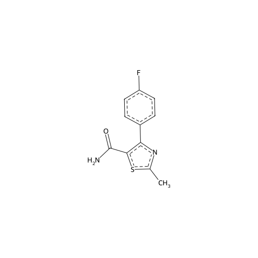 Cc1nc(-c2ccc(F)cc2)c(C(N)=O)s1